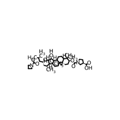 CC(C)[C@@H](OC(=O)N1CCC1)[C@H]1C[C@@H](C)[C@H]2[C@H](O1)[C@H](O)[C@@]1(C)[C@@H]3CC[C@H]4C(C)(C)[C@@H](OC(=O)N5CC[C@@H](C(=O)O)C5)CC[C@@]45C[C@@]35CC[C@]21C